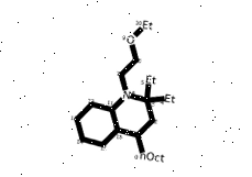 CCCCCCCCC1CC(CC)(CC)N(CCOCC)C2CCCCC12